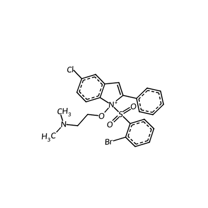 CN(C)CCO[N+]1(S(=O)(=O)c2ccccc2Br)C(c2ccccc2)=Cc2cc(Cl)ccc21